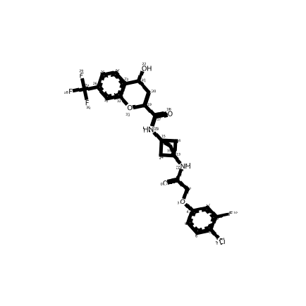 O=C(COc1ccc(Cl)c(F)c1)NC12CC(NC(=O)C3CC(O)c4ccc(C(F)(F)F)cc4O3)(C1)C2